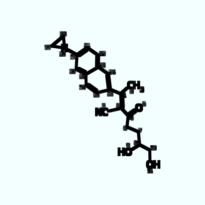 C/C(=C(/C#N)C(=O)CCC(O)CO)c1ccc2cc(N3CC3)ccc2c1